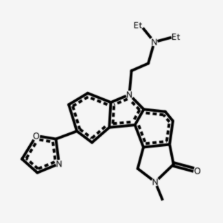 CCN(CC)CCn1c2ccc(-c3ncco3)cc2c2c3c(ccc21)C(=O)N(C)C3